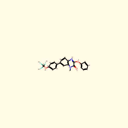 Cn1c(=O)c(Oc2ccccc2)nc2ccc(-c3ccc(OC(F)(F)F)cc3)cc21